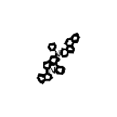 c1ccc(N(c2cccc(-c3ccccc3-n3c4ccccc4c4c5ccccc5ccc43)c2)c2ccc3ccc4c5ccccc5ccc4c3c2)cc1